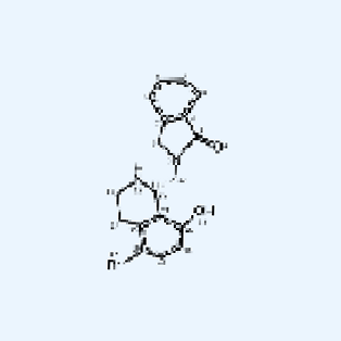 O=C1c2ccccc2CN1C[C@H]1NCCc2c(Br)ccc(O)c21